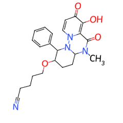 CN1C(=O)c2c(O)c(=O)ccn2N2C(c3ccccc3)C(OCCCCC#N)CCC12